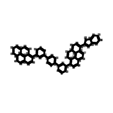 c1cc(-c2ccc(-c3cccc(-c4ccc5ccc6c(-c7cc8ccccc8s7)ccc7ccc4c5c76)c3)cc2)cc(-c2ccc3ccc4cccc5ccc2c3c45)c1